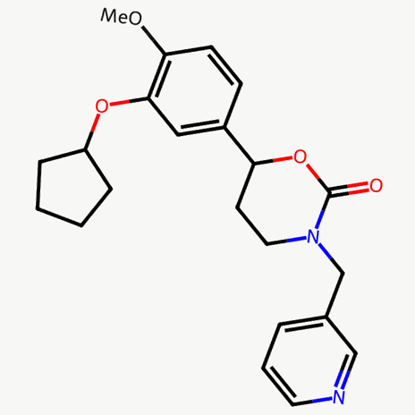 COc1ccc(C2CCN(Cc3cccnc3)C(=O)O2)cc1OC1CCCC1